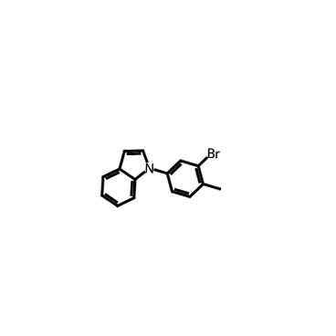 Cc1ccc(-n2ccc3ccccc32)cc1Br